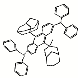 CC1(c2c3cc(N(c4ccccc4)c4ccccc4)ccc3c(C34CC5CC(CC(C5)C3)C4)c3cc(N(c4ccccc4)c4ccccc4)ccc23)CC2CCCC(C2)C1